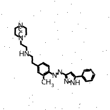 Cc1cc(CCNCC[N+]23CCN(CC2)CC3)ccc1N=Nc1cc(-c2ccccc2)[nH]n1